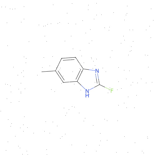 Cc1ccc2nc(F)[nH]c2c1